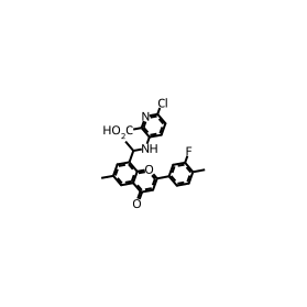 Cc1cc(C(C)Nc2ccc(Cl)nc2C(=O)O)c2oc(-c3ccc(C)c(F)c3)cc(=O)c2c1